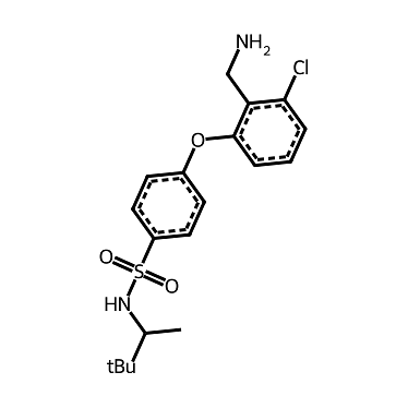 CC(NS(=O)(=O)c1ccc(Oc2cccc(Cl)c2CN)cc1)C(C)(C)C